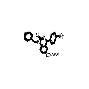 COc1ccc2c(c1)c(-c1ccc(C(C)C)cc1)nc(=S)n2Cc1ccccc1